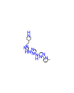 Cc1cccc(-c2nccc(Nc3ccnc(Nc4cnn(CCC5CCNCC5)c4)n3)n2)n1